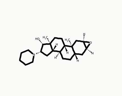 C[C@]12C[C@H]3O[C@H]3C[C@@H]1CC[C@@H]1[C@@H]2CC[C@]2(C)[C@@H](O)[C@@H](N3CCCCC3)C[C@@H]12